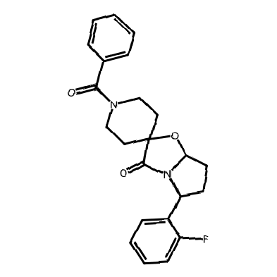 O=C(c1ccccc1)N1CCC2(CC1)OC1CCC(c3ccccc3F)N1C2=O